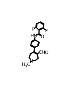 CN1CCC(C=O)=C(c2ccc(NC(=O)c3c(F)cccc3F)cc2)CC1